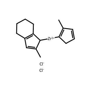 CC1=CC2=C(CCCC2)[CH]1[Zr+2][C]1=C(C)C=CC1.[Cl-].[Cl-]